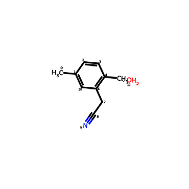 Cc1ccc(C)c(CC#N)c1.O